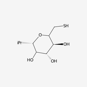 CC(C)[C@@H]1OC(CS)[C@@H](O)[C@H](O)C1O